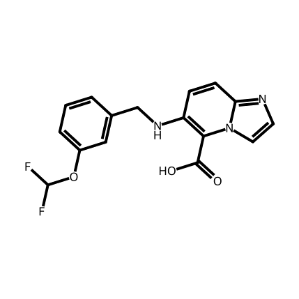 O=C(O)c1c(NCc2cccc(OC(F)F)c2)ccc2nccn12